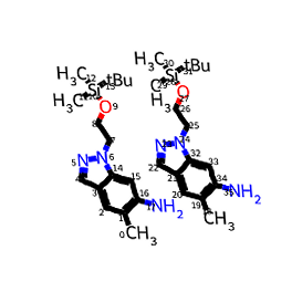 Cc1cc2cnn(CCO[Si](C)(C)C(C)(C)C)c2cc1N.Cc1cc2cnn(CCO[Si](C)(C)C(C)(C)C)c2cc1N